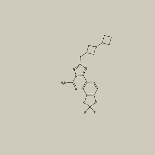 Nc1nc2c3c(ccc2c2nc(CC4CN(C5CCC5)C4)nn12)OC(F)(F)O3